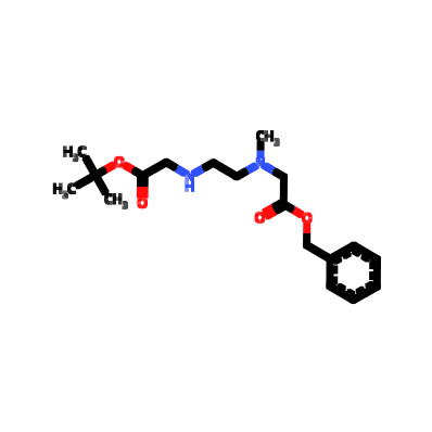 CN(CCNCC(=O)OC(C)(C)C)CC(=O)OCc1ccccc1